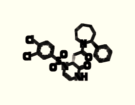 O=C1NC=CN(S(=O)(=O)c2ccc(Cl)c(Cl)c2)[C@@H]1CC(=O)N1CCCCC[C@H]1c1ccccc1